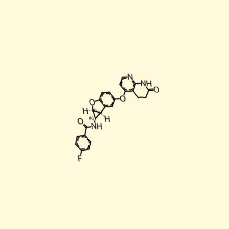 O=C1CCc2c(Oc3ccc4c(c3)[C@H]3[C@@H](NC(=O)c5ccc(F)cc5)[C@H]3O4)ccnc2N1